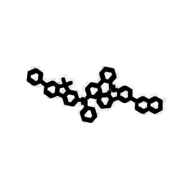 CC1(C)c2cc(-c3ccccc3)ccc2-c2ccc(N(c3ccccc3)c3ccc(-c4ccccc4-n4c5ccccc5c5cc(-c6ccc7ccccc7c6)ccc54)cc3)cc21